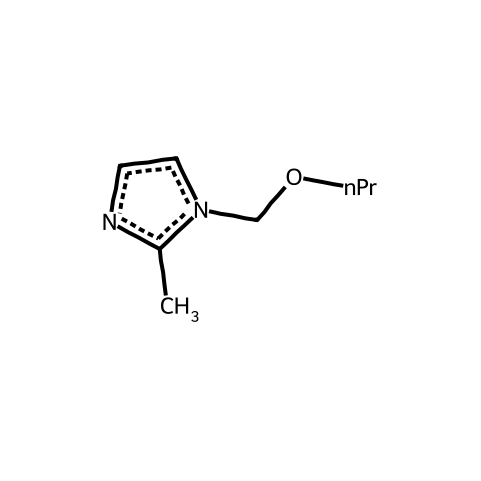 CCCOCn1ccnc1C